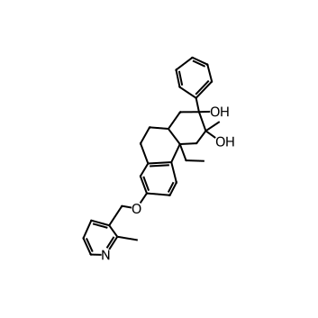 CCC12CC(C)(O)C(O)(c3ccccc3)CC1CCc1cc(OCc3cccnc3C)ccc12